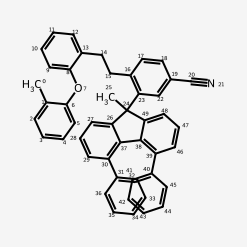 Cc1ccccc1Oc1ccccc1CCc1ccc(C#N)cc1C1(C)c2cccc(-c3ccccc3)c2-c2c(-c3ccccc3)cccc21